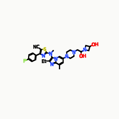 CCc1nc2c(C)cc(N3CCN(CC(O)N4CC(O)C4)CC3)cn2c1N(C)c1nc(-c2ccc(F)cc2)c(C#N)s1